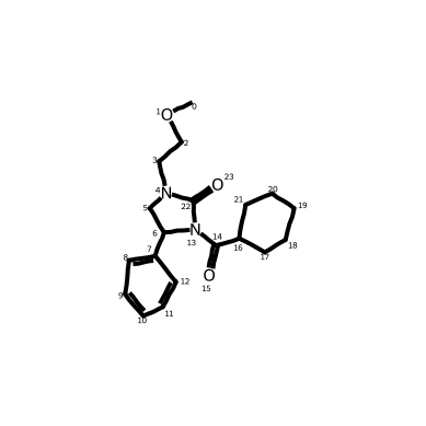 COCCN1CC(c2ccccc2)N(C(=O)C2CCCCC2)C1=O